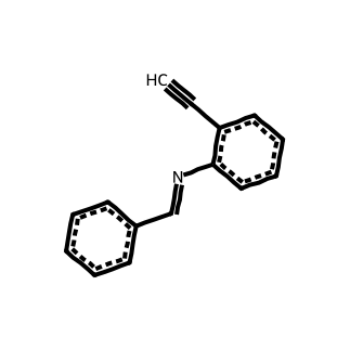 C#Cc1ccccc1N=Cc1ccccc1